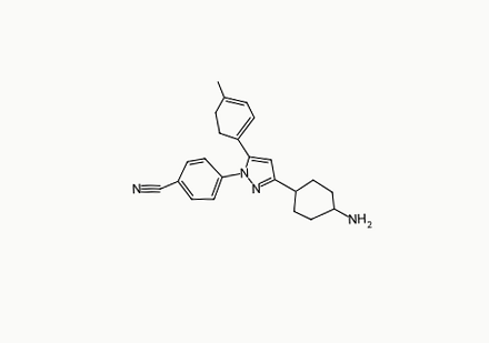 CC1=CC=C(c2cc(C3CCC(N)CC3)nn2-c2ccc(C#N)cc2)CC1